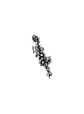 C[Si](C)(C)CCOCn1cc(C(F)(F)F)c2c(Oc3ccc(NC(=O)NCCCN4CCOCC4)c(F)c3F)ccnc21